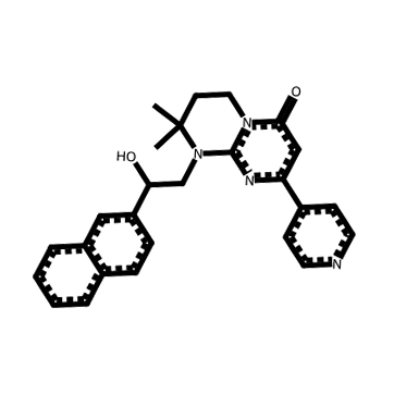 CC1(C)CCn2c(nc(-c3ccncc3)cc2=O)N1CC(O)c1ccc2ccccc2c1